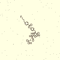 O=C[C@H](CCC(=O)O)NC(=O)N[C@@H](Cc1ccc(OC(=O)c2ccc(CCCCF)cc2)cc1)C(=O)O